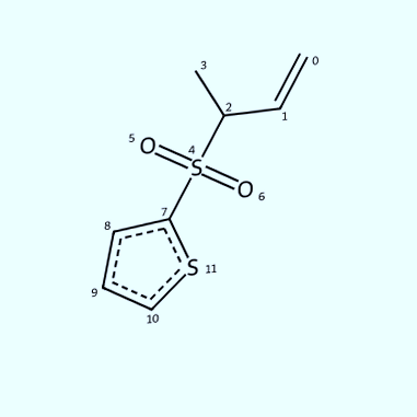 C=CC(C)S(=O)(=O)c1cccs1